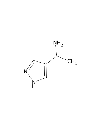 CC(N)c1cn[nH]c1